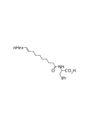 CCCCCCC=CCCCCCCCC(=O)NC(CC(C)C)C(=O)O